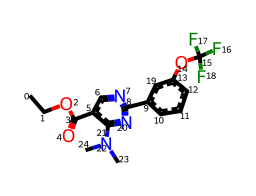 CCOC(=O)c1cnc(-c2cccc(OC(F)(F)F)c2)nc1N(C)C